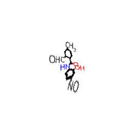 CC1CCC(C(=O)Nc2ccc(N=O)cc2O)C(C=O)C1